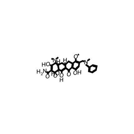 COc1c(CN(C)Cc2ccccc2)cc(O)c2c1C[C@H]1C[C@H]3[C@H](N(C)C)C(O)=C(C(N)=O)C(=O)[C@@]3(O)C(O)=C1C2=O